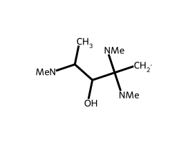 [CH2]C(NC)(NC)C(O)C(C)NC